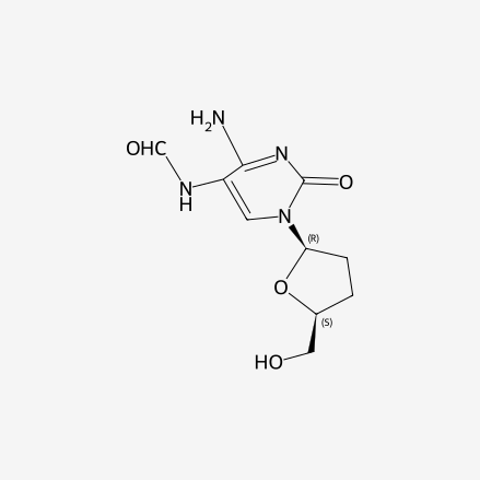 Nc1nc(=O)n([C@H]2CC[C@@H](CO)O2)cc1NC=O